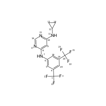 FC(F)(F)c1cc(Nc2cc(NC3CC3)ncn2)cc(C(F)(F)F)c1